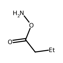 CCCC(=O)ON